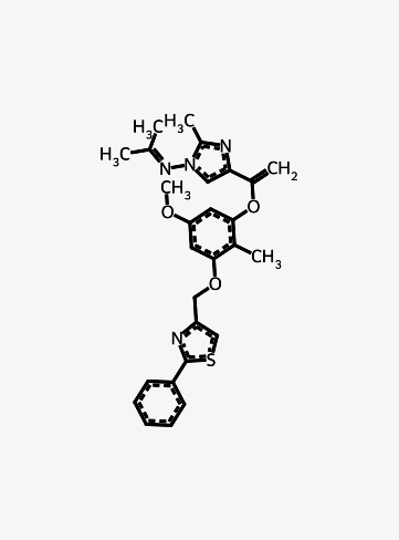 C=C(Oc1cc(OC)cc(OCc2csc(-c3ccccc3)n2)c1C)c1cn(N=C(C)C)c(C)n1